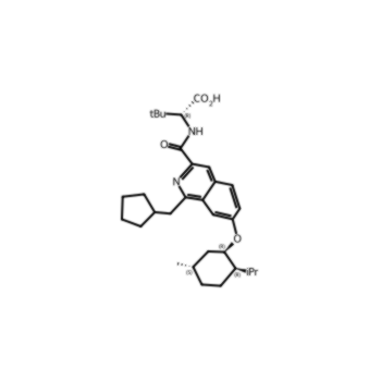 CC(C)[C@H]1CC[C@H](C)C[C@H]1Oc1ccc2cc(C(=O)N[C@@H](C(=O)O)C(C)(C)C)nc(CC3CCCC3)c2c1